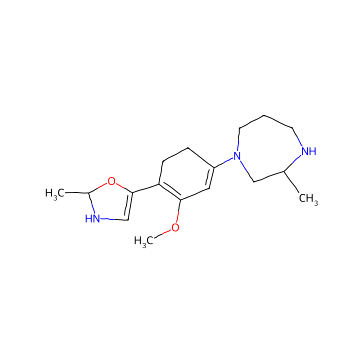 COC1=C(C2=CNC(C)O2)CCC(N2CCCNC(C)C2)=C1